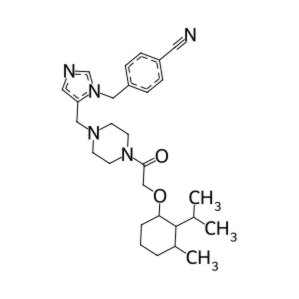 CC(C)C1C(C)CCCC1OCC(=O)N1CCN(Cc2cncn2Cc2ccc(C#N)cc2)CC1